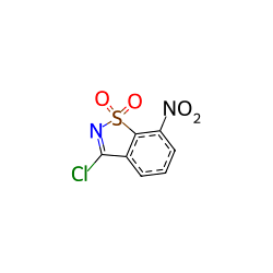 O=[N+]([O-])c1cccc2c1S(=O)(=O)N=C2Cl